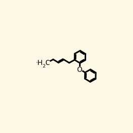 [CH2]CC=CCc1ccccc1Oc1ccccc1